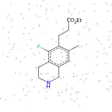 CCOC(=O)CCc1c(C)cc2c(c1F)CCNC2